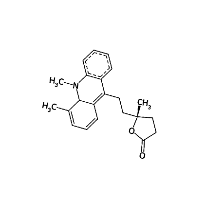 CC1=CC=CC2=C(CC[C@]3(C)CCC(=O)O3)c3ccccc3N(C)C12